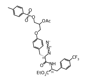 CCOC(=O)[C@H](Cc1ccc(C(F)(F)F)cc1)NC(=O)[C@H](Cc1ccc(OCC(COS(=O)(=O)c2ccc(C)cc2)OC(C)=O)cc1)N=[N+]=[N-]